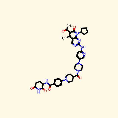 CC(=O)c1c(C)c2cnc(Nc3ccc(N4CCN(C(=O)C5CCN(c6ccc(C(=O)NC7CCC(=O)NC7=O)cc6)CC5)CC4)cn3)nc2n(C2CCCC2)c1=O